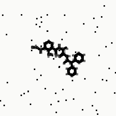 CC(=O)Oc1c(NC=O)ccnc1C(=O)N[C@@H](C)C(=O)OC(C)C(c1ccccc1)c1ccccc1